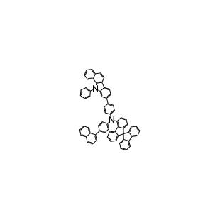 c1ccc(-n2c3cc(-c4ccc(N(c5ccc(-c6cccc7ccccc67)cc5)c5cccc6c5-c5ccccc5C65c6ccccc6-c6ccccc65)cc4)ccc3c3ccc4ccccc4c32)cc1